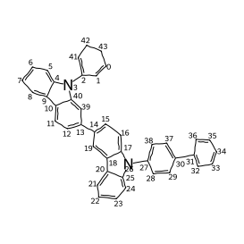 C1=CC(n2c3ccccc3c3ccc(-c4ccc5c(c4)c4ccccc4n5-c4ccc(-c5ccccc5)cc4)cc32)=CCC1